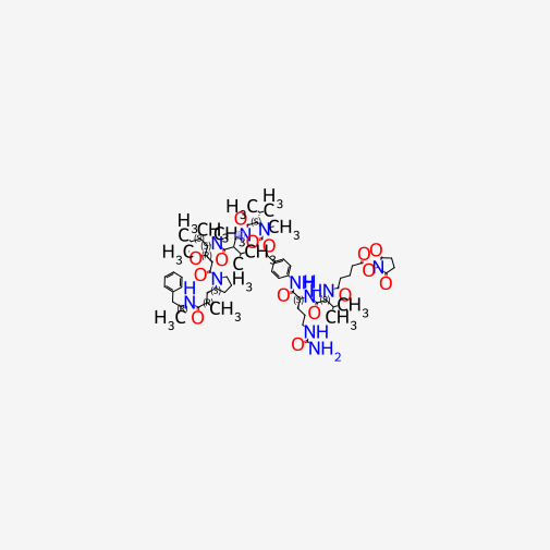 CC[C@H](C)[C@@H]([C@@H](CC(=O)N1CCC[C@H]1C[C@@H](C)C(=O)N[C@H](C)Cc1ccccc1)OC)N(C)C(=O)C(/C=N/C(=O)[C@H](C(C)C)N(C)C(=O)OCc1ccc(NC(=O)[C@H](CCCNC(N)=O)NC(=O)[C@@H](NC(=O)CCCC(=O)ON2C(=O)CCC2=O)C(C)C)cc1)C(C)C